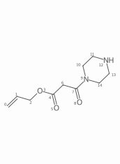 C=CCOC(=O)CC(=O)N1CCNCC1